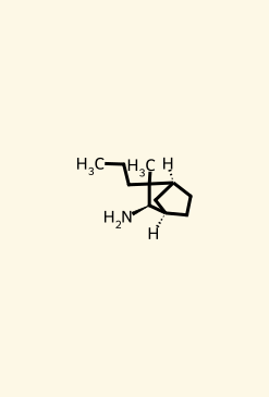 CCCC1(C)[C@H]2CC[C@H](C2)[C@H]1N